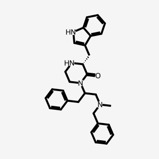 CN(Cc1ccccc1)CC(Cc1ccccc1)N1CCN[C@H](Cc2c[nH]c3ccccc23)C1=O